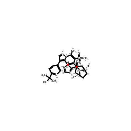 CC(C)(O)c1ccc(-c2cnn3c(N)c(S(C)(=O)=O)c(C4C[C@H]5CC[C@@H](C4)N5C(=O)c4ncn[nH]4)nc23)cn1